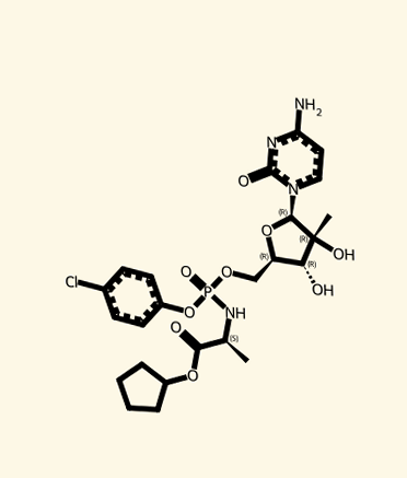 C[C@H](NP(=O)(OC[C@H]1O[C@@H](n2ccc(N)nc2=O)[C@](C)(O)[C@@H]1O)Oc1ccc(Cl)cc1)C(=O)OC1CCCC1